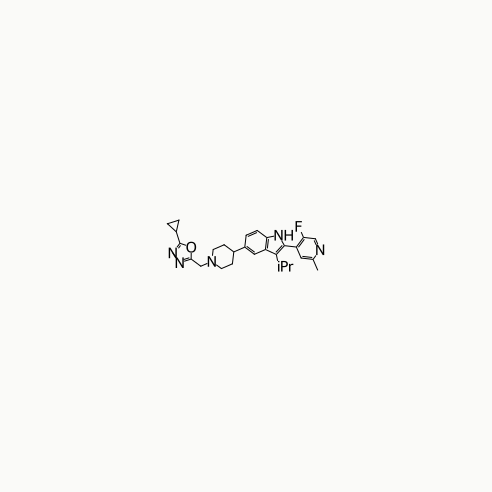 Cc1cc(-c2[nH]c3ccc(C4CCN(Cc5nnc(C6CC6)o5)CC4)cc3c2C(C)C)c(F)cn1